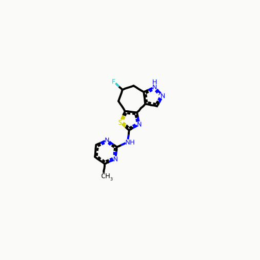 Cc1ccnc(Nc2nc3c(s2)CC(F)Cc2[nH]ncc2-3)n1